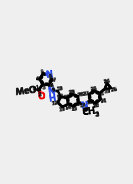 COC(=O)c1ccncc1NC[C@@H]1CCc2cc(N(C)c3ccc(C4CC4)cc3)ccc21